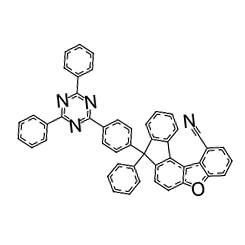 N#Cc1cccc2oc3ccc4c(c3c12)-c1ccccc1C4(c1ccccc1)c1ccc(-c2nc(-c3ccccc3)nc(-c3ccccc3)n2)cc1